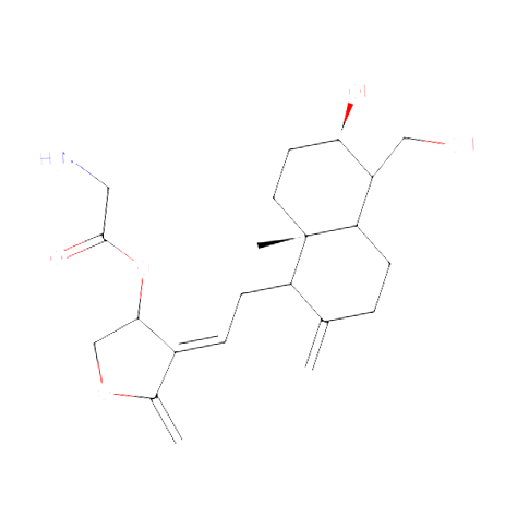 C=C1OCC(OC(=O)CN)/C1=C\CC1C(=C)CCC2[C@@]1(C)CC[C@@H](O)[C@@]2(C)CO